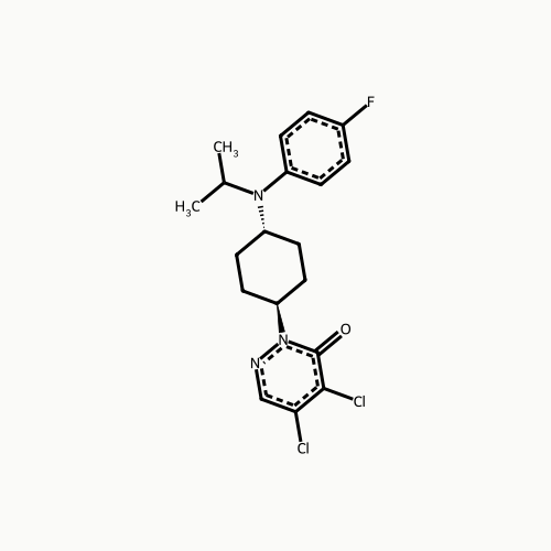 CC(C)N(c1ccc(F)cc1)[C@H]1CC[C@H](n2ncc(Cl)c(Cl)c2=O)CC1